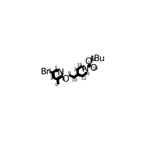 Cc1cc(Br)cnc1OCCC1CCN(C(=O)OC(C)(C)C)CC1